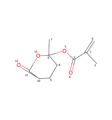 C=C(C)C(=O)OC1(C)CCCC(=O)O1